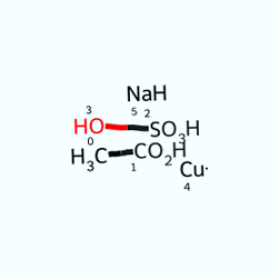 CC(=O)O.O=S(=O)(O)O.[Cu].[NaH]